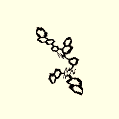 c1cc(-c2nc(-c3ccc4ccccc4c3)nc(-c3ccc4ccccc4c3)n2)cc(-c2nc3ccc(-c4ccc5c(ccc6ccccc65)c4)cc3c3c2ccc2ccccc23)c1